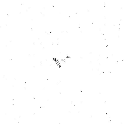 [Au].[P]#[Ni].[Pd]